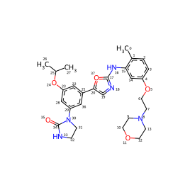 Cc1ccc(OCCN2CCOCC2)cc1Nc1ncc(-c2cc(OC(C)C)cc(N3CCNC3=O)c2)o1